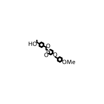 COc1ccc(COc2ccn(CC(=O)c3ccc(C(C)O)cc3)c(=O)c2)cc1